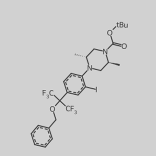 C[C@@H]1CN(C(=O)OC(C)(C)C)[C@@H](C)CN1c1ccc(C(OCc2ccccc2)(C(F)(F)F)C(F)(F)F)cc1I